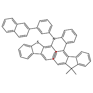 CC1(C)c2ccccc2-c2c(-c3ccccc3N(c3cccc(-c4ccc5ccccc5c4)c3)c3cccc4c3sc3ccccc34)cccc21